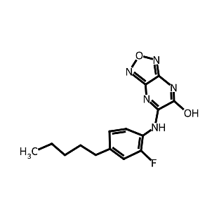 CCCCCc1ccc(Nc2nc3nonc3nc2O)c(F)c1